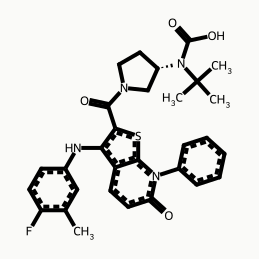 Cc1cc(Nc2c(C(=O)N3CC[C@H](N(C(=O)O)C(C)(C)C)C3)sc3c2ccc(=O)n3-c2ccccc2)ccc1F